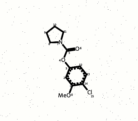 COc1cc(OC(=O)N2CCCC2)ccc1Cl